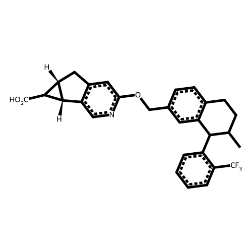 CC1CCc2ccc(COc3cc4c(cn3)[C@@H]3C(C(=O)O)[C@@H]3C4)cc2C1c1ccccc1C(F)(F)F